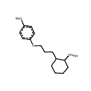 CCCCCCCC1CCCCC1CCCOc1ccc(OC)cc1